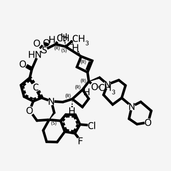 CO[C@@]1(CN2CCC(N3CCOCC3)CC2)C2=C[C@@H](C2)[C@H](C)[C@@H](C)S(=O)(=O)NC(=O)c2ccc3c(c2)N(C[C@@H]2CC[C@H]21)C[C@@]1(CCCc2c1ccc(Cl)c2F)CO3